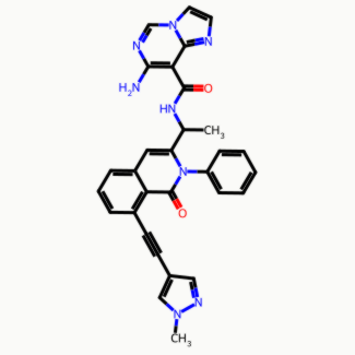 CC(NC(=O)c1c(N)ncn2ccnc12)c1cc2cccc(C#Cc3cnn(C)c3)c2c(=O)n1-c1ccccc1